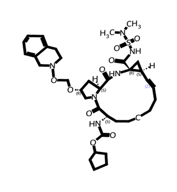 CN(C)S(=O)(=O)NC(=O)[C@@]12C[C@H]1/C=C\CCCCC[C@H](NC(=O)OC1CCCC1)C(=O)N1C[C@H](OCON3CCc4ccccc4C3)C[C@H]1C(=O)N2